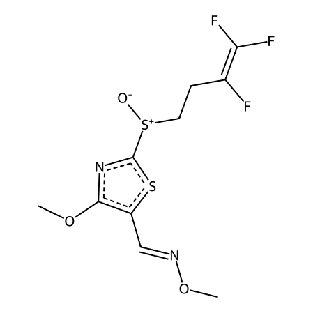 CO/N=C/c1sc([S+]([O-])CCC(F)=C(F)F)nc1OC